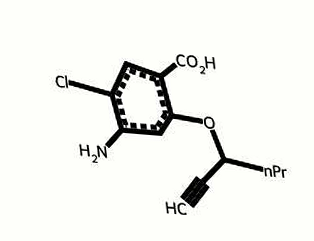 C#CC(CCC)Oc1cc(N)c(Cl)cc1C(=O)O